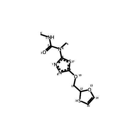 CNC(=O)N(C)c1nnc(OCC2OC=CS2)s1